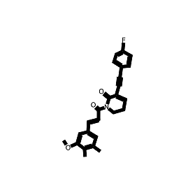 COc1cc(/C=C/C(=O)N2CCC=C(C#Cc3ccc(F)cc3)C2=O)cc(C)c1C